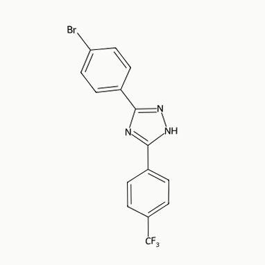 FC(F)(F)c1ccc(-c2nc(-c3ccc(Br)cc3)n[nH]2)cc1